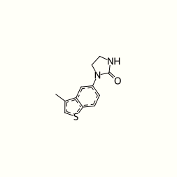 Cc1csc2ccc(N3CCNC3=O)cc12